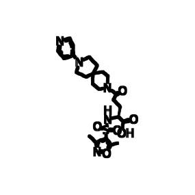 Cc1noc(C)c1S(=O)(=O)N[C@@H](CCC(=O)N1CCC2(CC1)CCN(c1ccncc1)CC2)C(=O)O